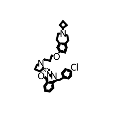 O=c1c2ccccc2c(Cc2ccc(Cl)cc2)nn1C[C@@H]1CCCN1CCCOc1ccc2c(c1)CCN(C1CCC1)CC2